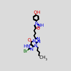 CCCCCn1c2nc(Br)[nH]c2c(=O)n2c(CCCC3=CN(c4ccc(O)cc4)NO3)nnc12